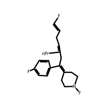 CCC/C(=C\C/C=C/F)CC(=C1CCN(F)CC1)c1ccc(F)cc1